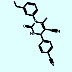 CC1=C(C#N)C(c2ccc(C#N)cc2)NC(=O)N1c1cccc(CF)c1